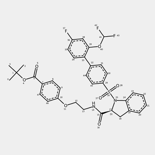 CC(C)(C)OC(=O)c1ccc(OCCNC(=O)[C@@H]2Cc3ccccc3N2S(=O)(=O)c2ccc(-c3ccc(F)cc3OC(F)F)cc2)cc1